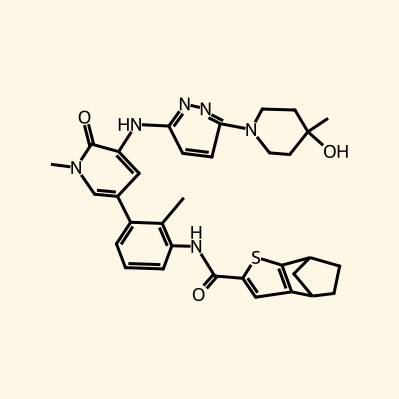 Cc1c(NC(=O)c2cc3c(s2)C2CCC3C2)cccc1-c1cc(Nc2ccc(N3CCC(C)(O)CC3)nn2)c(=O)n(C)c1